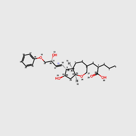 CCCC(CC1CC[C@@H]2[C@@H](/C=C/[C@@H](O)COc3ccccc3)[C@H](O)C[C@@H]2OC1)C(=O)O